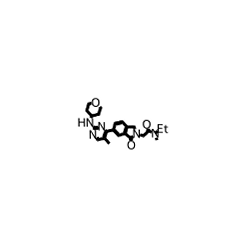 CCN(C)C(=O)CN1Cc2ccc(-c3nc(NC4CCOCC4)ncc3C)cc2C1=O